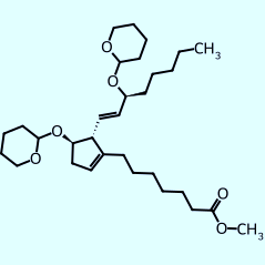 CCCCC[C@@H](/C=C/[C@@H]1C(CCCCCCC(=O)OC)=CC[C@H]1OC1CCCCO1)OC1CCCCO1